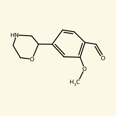 COc1cc(C2CNCCO2)ccc1C=O